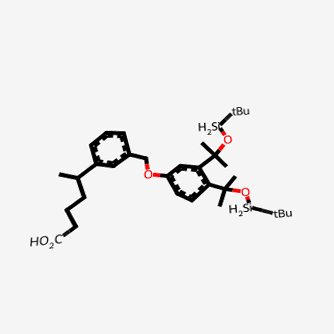 CC(CCCC(=O)O)c1cccc(COc2ccc(C(C)(C)O[SiH2]C(C)(C)C)c(C(C)(C)O[SiH2]C(C)(C)C)c2)c1